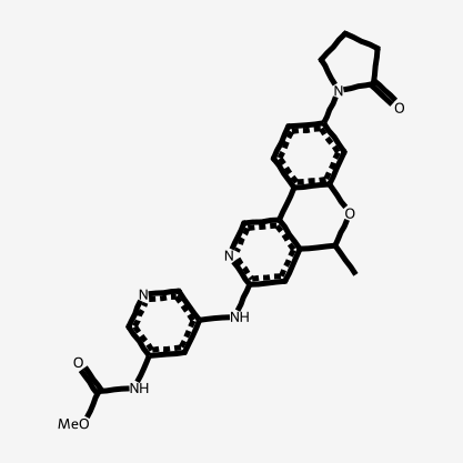 COC(=O)Nc1cncc(Nc2cc3c(cn2)-c2ccc(N4CCCC4=O)cc2OC3C)c1